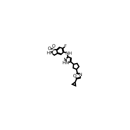 O=S1(=O)NCc2cc(Nc3cc(C4CCC(c5ncc(C6CC6)o5)C4)[nH]n3)c(F)cc21